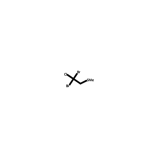 CS[CH]C(Cl)(Br)Br